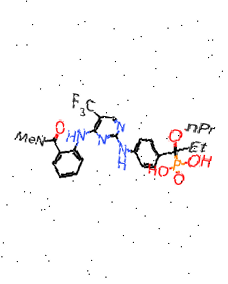 CCCOC(CC)(c1ccc(Nc2ncc(C(F)(F)F)c(Nc3ccccc3C(=O)NC)n2)cc1)P(=O)(O)O